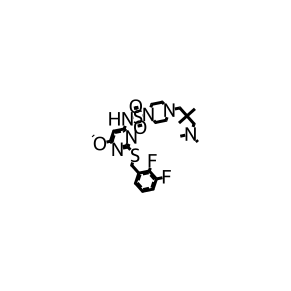 COc1cc(NS(=O)(=O)N2CCN(CC(C)(C)CN(C)C)CC2)nc(SCc2cccc(F)c2F)n1